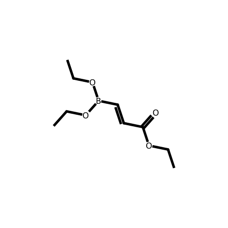 CCOB(/C=C/C(=O)OCC)OCC